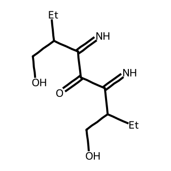 CCC(CO)C(=N)C(=O)C(=N)C(CC)CO